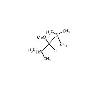 [Li][C](OC)([SiH](C)C)[Si](C)(C)C